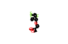 COC(=O)C[C@@H](c1cccc(OCc2ccc(-c3cc(C(F)F)ccc3F)c([C@@H]3CCCC3(C)C)c2)c1)C1CC1